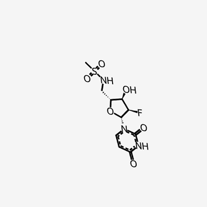 CS(=O)(=O)NC[C@H]1O[C@@H](n2ccc(=O)[nH]c2=O)[C@H](F)[C@@H]1O